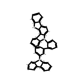 c1cc(-c2ccccc2-n2c3ccccc3c3c4sc5ccccc5c4ccc32)cc(-n2c3ccccc3c3ccccc32)c1